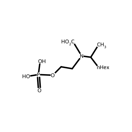 CCCCCCC(C)N(CCOP(=O)(O)O)C(=O)O